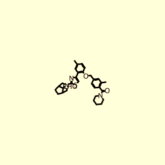 Cc1ccc(OCc2ccc(C(=O)N3CCCCC3)c(C)c2)c(-c2csc(N3CC4CCC(C3)C4C=O)n2)c1